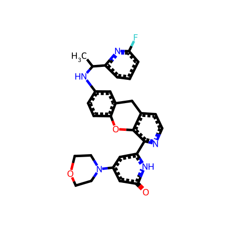 CC(Nc1ccc2c(c1)Cc1ccnc(-c3cc(N4CCOCC4)cc(=O)[nH]3)c1O2)c1cccc(F)n1